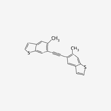 Cc1cc2sccc2cc1C#Cc1cc2sccc2cc1C